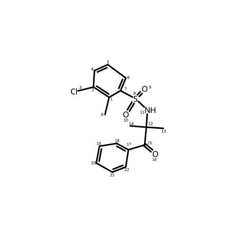 Cc1c(Cl)cccc1S(=O)(=O)NC(C)(C)C(=O)c1ccccc1